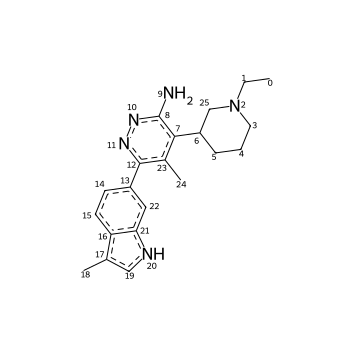 CCN1CCCC(c2c(N)nnc(-c3ccc4c(C)c[nH]c4c3)c2C)C1